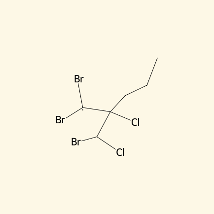 CCCC(Cl)([C](Br)Br)C(Cl)Br